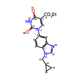 CCOC(=O)c1cn(-c2ccc3c(c2)ncn3CC2CC2)c(=O)[nH]c1=O